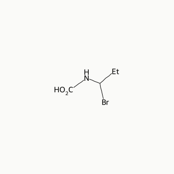 CCC(Br)NC(=O)O